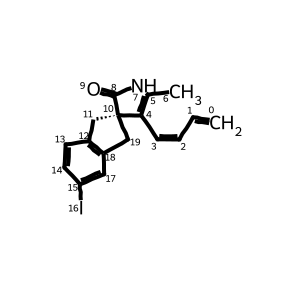 C=C/C=C\C1=C(C)NC(=O)[C@@]12Cc1ccc(I)cc1C2